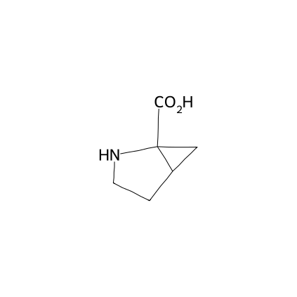 O=C(O)C12CC1CCN2